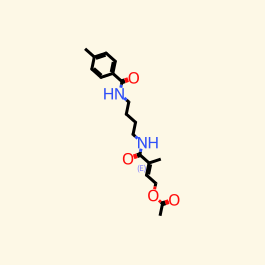 CC(=O)OC/C=C(\C)C(=O)NCCCCNC(=O)c1ccc(C)cc1